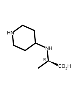 C[C@@H](NC1CCNCC1)C(=O)O